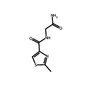 Cc1nc(C(=O)NCC(N)=O)cs1